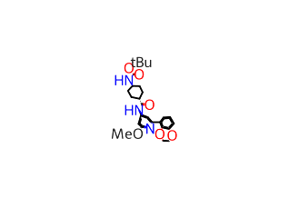 COc1cc(NC(=O)[C@H]2CC[C@@H](NC(=O)OC(C)(C)C)CC2)cc(-c2cccc3c2OCCO3)n1